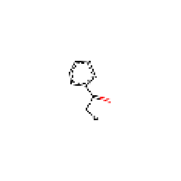 O=C([CH2][Na])c1ccccc1